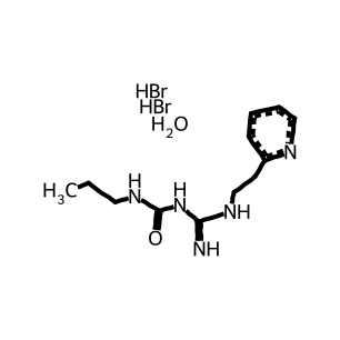 Br.Br.CCCNC(=O)NC(=N)NCCc1ccccn1.O